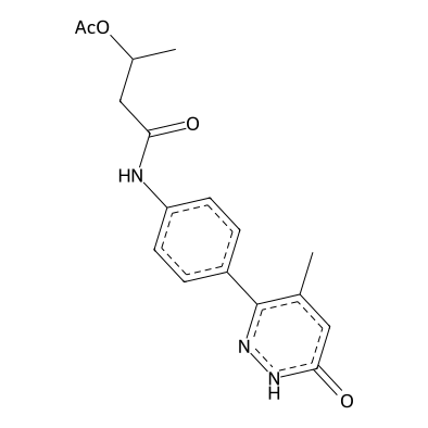 CC(=O)OC(C)CC(=O)Nc1ccc(-c2n[nH]c(=O)cc2C)cc1